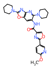 COc1ccc(-c2nc(C(=O)Nc3cc4oc(N5CCCCC5)nc4nc3N3CCCCC3)co2)cn1